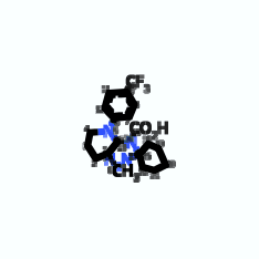 C[C@H]1CCCN(c2ccc(C(F)(F)F)cc2)[C@@H]1N(C(=O)O)C1(N)CCCCC1